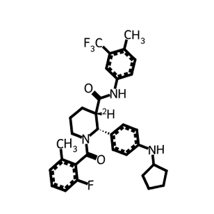 [2H][C@]1(C(=O)Nc2ccc(C)c(C(F)(F)F)c2)CCCN(C(=O)c2c(C)cccc2F)[C@H]1c1ccc(NC2CCCC2)cc1